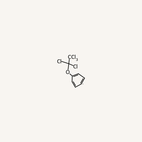 ClC(Cl)(Cl)C(Cl)(Cl)Oc1cc[c]cc1